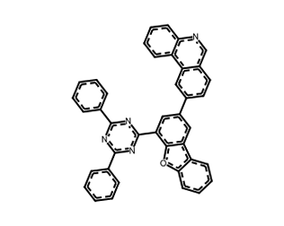 c1ccc(-c2nc(-c3ccccc3)nc(-c3cc(-c4ccc5cnc6ccccc6c5c4)cc4c3oc3ccccc34)n2)cc1